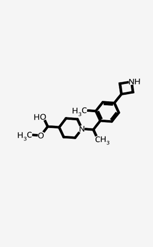 COC(O)C1CCN(C(C)c2ccc(C3CNC3)cc2C)CC1